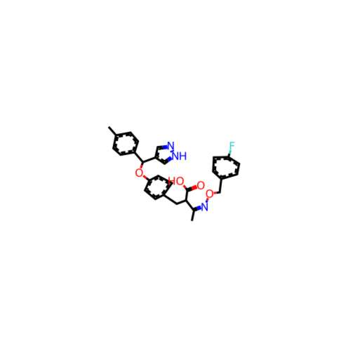 CC(=NOCc1ccc(F)cc1)C(Cc1ccc(OC(c2ccc(C)cc2)c2cn[nH]c2)cc1)C(=O)O